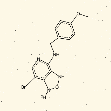 [2H]N1ONc2c(NCc3ccc(OC)cc3)ncc(Br)c21